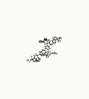 CCCCC(CC)CC1(CC(CC)CCCC)c2cc3c(cc2-c2cc4sc(-c5ccc(C(C)(P)CCC)c6nsnc56)cc4cc21)C(CC(CC)CCCC)(CC(CC)CCCC)c1cc2cc(C(CC)(CCC)C(C)C)sc2cc1-3